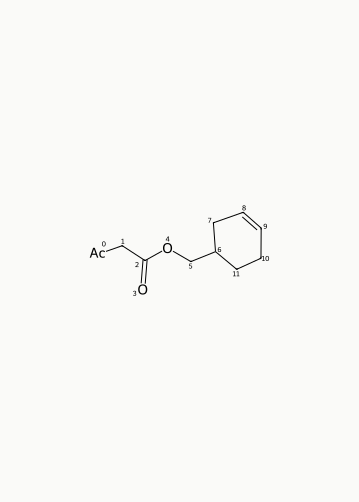 CC(=O)CC(=O)OCC1CC=CCC1